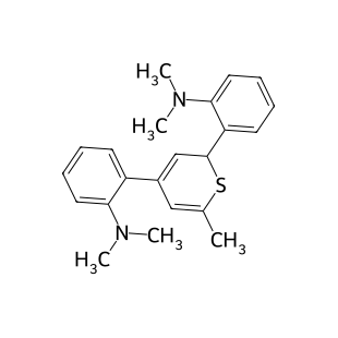 CC1=CC(c2ccccc2N(C)C)=CC(c2ccccc2N(C)C)S1